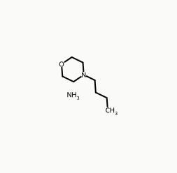 CCCCN1CCOCC1.N